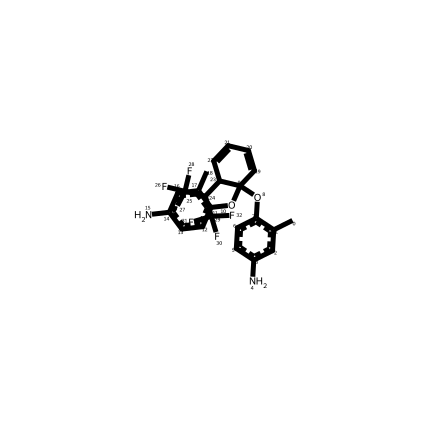 Cc1cc(N)ccc1OC1(Oc2ccc(N)cc2C)C=CC=CC1C(C(F)(F)F)C(F)(F)F